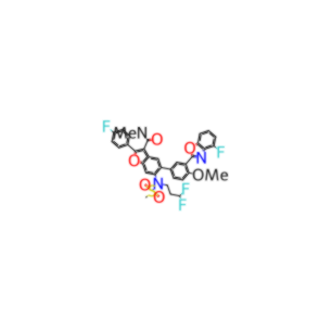 CNC(=O)c1c(-c2ccc(F)cc2)oc2cc(N(CCC(F)F)S(C)(=O)=O)c(-c3ccc(OC)c(-c4nc5c(F)cccc5o4)c3)cc12